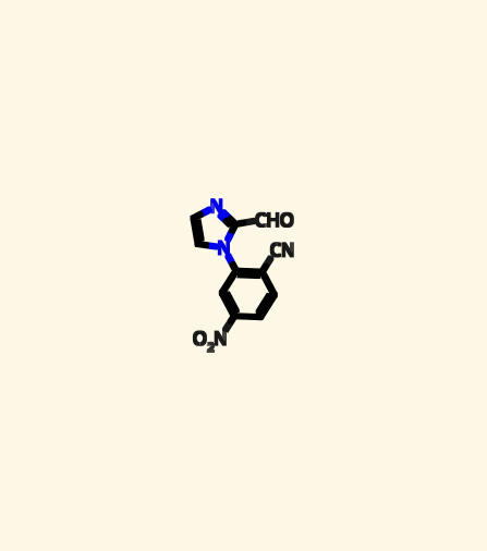 N#Cc1ccc([N+](=O)[O-])cc1-n1ccnc1C=O